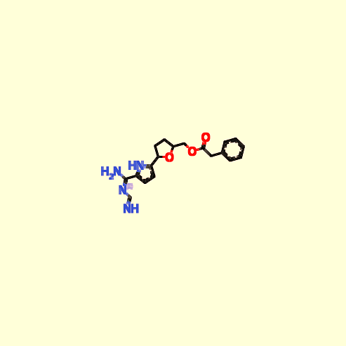 N=C/N=C(/N)c1ccc(C2CCC(COC(=O)Cc3ccccc3)O2)[nH]1